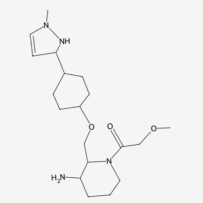 COCC(=O)N1CCCC(N)C1COC1CCC(C2C=CN(C)N2)CC1